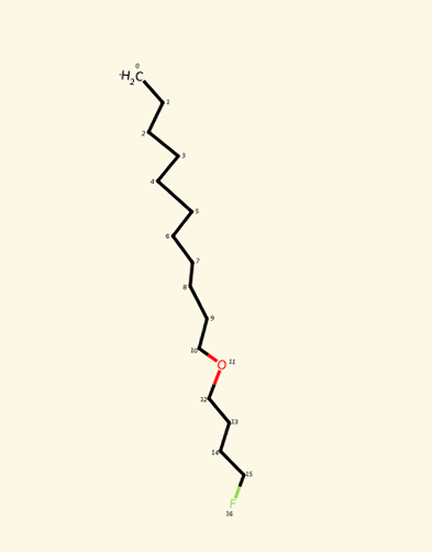 [CH2]CCCCCCCCCCOCCCCF